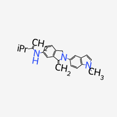 C=C(Nc1ccc2c(c1)C(=C)N(c1ccc3c(ccn3C)c1)C2)C(C)C